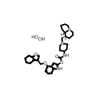 Cl.Cl.O=C(NC1CCN(C[C@@H]2CCCN3CCCC[C@H]23)CC1)Oc1cc2c(OCc3coc4ccccc34)cccc2[nH]1